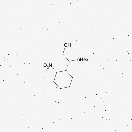 CCCCCCC(CO)[C@@H]1CCCC[C@@H]1[N+](=O)[O-]